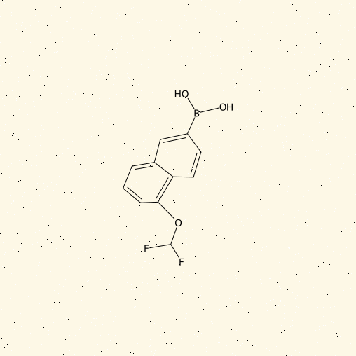 OB(O)c1ccc2c(OC(F)F)cccc2c1